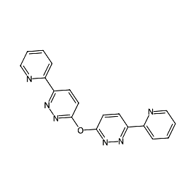 c1ccc(-c2ccc(Oc3ccc(-c4ccccn4)nn3)nn2)nc1